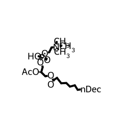 CCCCCCCCCCCCCCCCC(=O)OC[C@H](COP(=O)(O)OCC[N+](C)(C)C)OC(C)=O